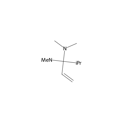 C=CC(NC)(C(C)C)N(C)C